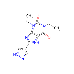 CCn1c(=O)c2[nH]c(-c3cn[nH]c3)nc2n(CC)c1=O